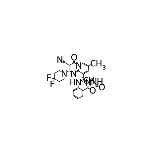 Cc1cc([C@@H](C)Nc2ccccc2-c2n[nH]c(=O)o2)c2nc(N3CCC(F)(F)CC3)c(C#N)c(=O)n2c1